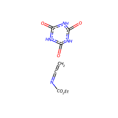 C=C=NC(=O)OCC.O=c1[nH]c(=O)[nH]c(=O)[nH]1